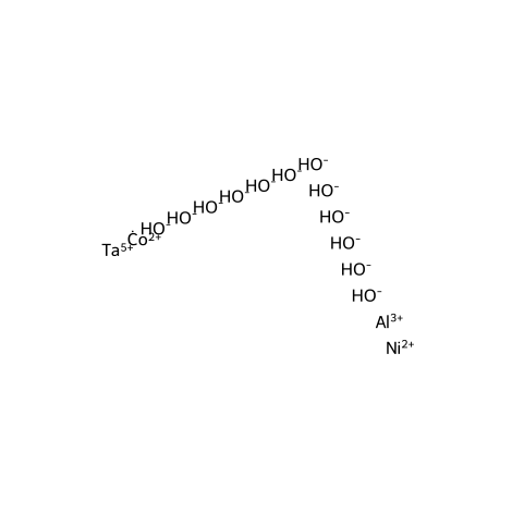 [Al+3].[Co+2].[Ni+2].[OH-].[OH-].[OH-].[OH-].[OH-].[OH-].[OH-].[OH-].[OH-].[OH-].[OH-].[OH-].[Ta+5]